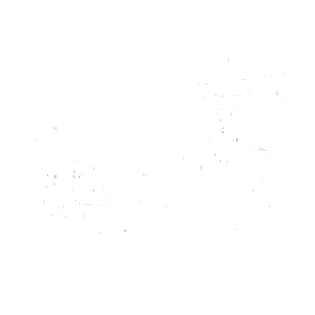 c1ccc(-c2cccc(N(c3ccc4cc(-c5ccc6c(c5)C5(c7ccccc7-6)c6ccccc6-n6c7ccccc7c7cccc5c76)ccc4c3)c3cccc4c3-c3ccccc3C4(c3ccccc3)c3ccccc3)c2)cc1